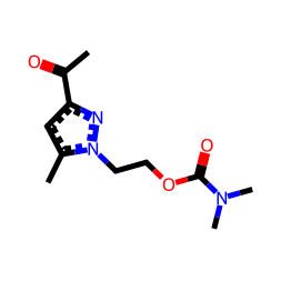 CC(=O)c1cc(C)n(CCOC(=O)N(C)C)n1